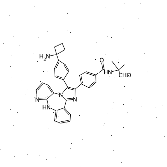 CC(C)(C=O)NC(=O)c1ccc(-c2nc3n(c2-c2ccc(C4(N)CCC4)cc2)-c2cccnc2Nc2ccccc2-3)cc1